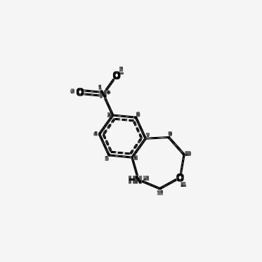 O=[N+]([O-])c1ccc2c(c1)CCOCN2